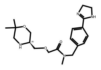 CN(Cc1ccc(C2=NCCN2)cc1)C(=O)COC[C@@H]1COC(C)(C)CN1